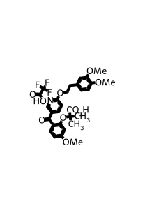 COc1ccc(C(=O)c2ccc(OCCc3ccc(OC)c(OC)c3)nc2)c(OC(C)(C)C(=O)O)c1.O=C(O)C(F)(F)F